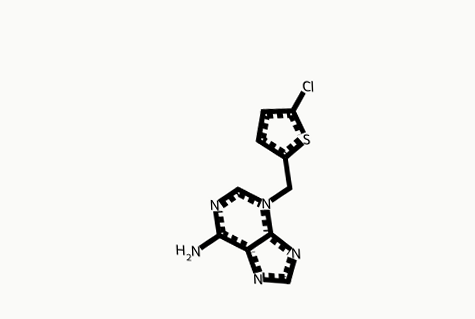 Nc1ncn(Cc2ccc(Cl)s2)c2ncnc1-2